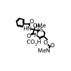 CNC(=O)OCC1=C(C(=O)O)N2C(=O)C(NC(=O)c3ccccc3)(OC)[C@H]2SC1